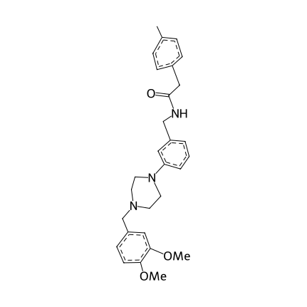 COc1ccc(CN2CCN(c3cccc(CNC(=O)Cc4ccc(C)cc4)c3)CC2)cc1OC